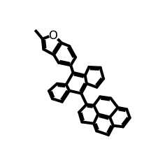 Cc1cc2cc(-c3c4ccccc4c(-c4ccc5ccc6cccc7ccc4c5c67)c4ccccc34)ccc2o1